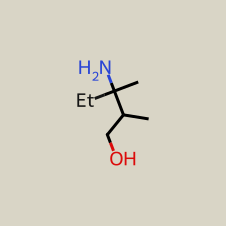 CCC(C)(N)C(C)CO